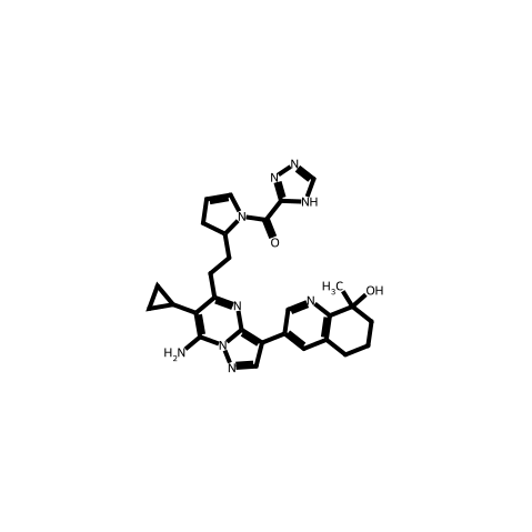 CC1(O)CCCc2cc(-c3cnn4c(N)c(C5CC5)c(CCC5CC=CN5C(=O)c5nnc[nH]5)nc34)cnc21